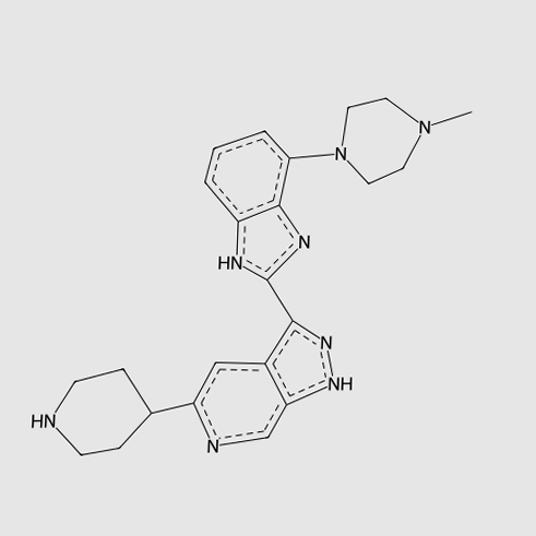 CN1CCN(c2cccc3[nH]c(-c4n[nH]c5cnc(C6CCNCC6)cc45)nc23)CC1